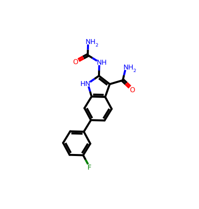 NC(=O)Nc1[nH]c2cc(-c3cccc(F)c3)ccc2c1C(N)=O